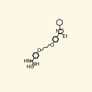 CCc1sc(C2CCCCC2)nc1-c1ccc(OCCCCOc2ccc(C(=N)NO)cc2)cc1